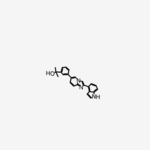 CC(C)(O)c1cccc(-c2ccc3nc(-c4cccc5[nH]ccc45)cn3c2)c1